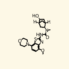 COc1ccc(N2CCOCC2)c2sc(NC(=O)N(C)[C@H]3C[C@H]4C[C@@H]3C[C@@H]4O)nc12